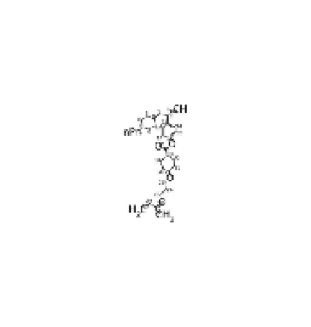 C#CC(CC1CCC(CCC)CC1)c1ccc(OC(=O)C2CCC(OCCCOC(=C)C=C)CC2)cc1